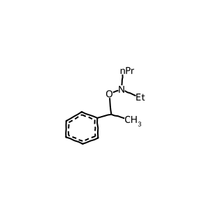 CCCN(CC)OC(C)c1ccccc1